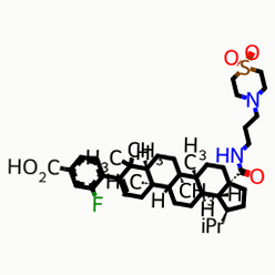 CC(C)[C@@H]1CC[C@]2(C(=O)NCCCN3CCS(=O)(=O)CC3)CC[C@]3(C)[C@H](CC[C@@H]4[C@@]5(C)CC=C(c6ccc(C(=O)O)cc6F)C(C)(C)[C@@H]5CC[C@]43C)[C@@H]12